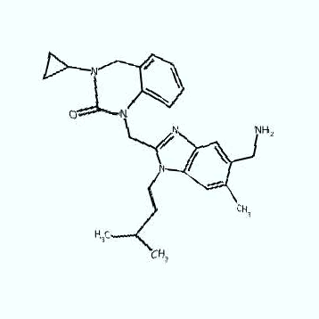 Cc1cc2c(cc1CN)nc(CN1C(=O)N(C3CC3)Cc3ccccc31)n2CCC(C)C